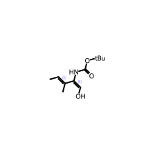 C/C=C(C)/C(=C\O)NC(=O)OC(C)(C)C